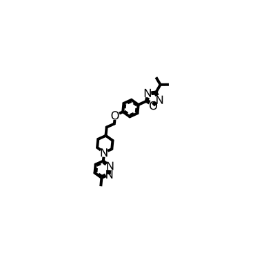 Cc1ccc(N2CCC(CCOc3ccc(-c4nc(C(C)C)no4)cc3)CC2)nn1